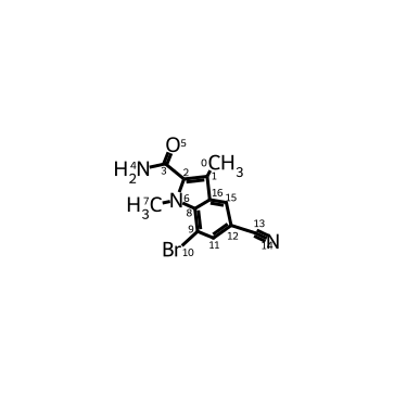 Cc1c(C(N)=O)n(C)c2c(Br)cc(C#N)cc12